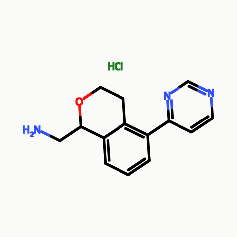 Cl.NCC1OCCc2c(-c3ccncn3)cccc21